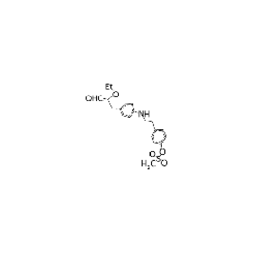 CCO[C@H](C=O)Cc1ccc(NCCc2ccc(OS(C)(=O)=O)cc2)cc1